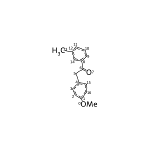 COc1ccc(CC(=O)c2cccc(C)c2)cc1